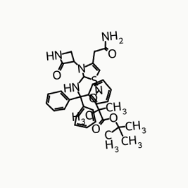 CC(C)(C)OC(=O)C(C)(C)O/N=S1/C=C(CC(N)=O)N(C2CNC2=O)C1NC(c1ccccc1)(c1ccccc1)c1ccccc1